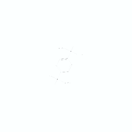 CCCCCCCC(C)(CCCCCC)c1ccc(C(C)(CCCC)CCCCCC)nc1